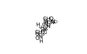 COc1cc(-c2ccc3cc(-c4nc5cc(C(=O)N6CC7CCC6C7N)cc(OC)c5n4C)n(CC4CC4)c3n2)c[nH]c1=O